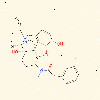 C=CCN1CC[C@]23c4c5ccc(O)c4OC2C(N(C)C(=O)Cc2ccc(F)c(F)c2)CC[C@@]3(O)[C@H]1C5